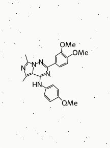 COc1ccc(Nc2nc(-c3ccc(OC)c(OC)c3)nn3c(C)nc(C)c23)cc1